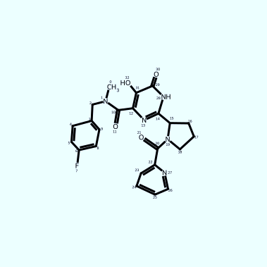 CN(Cc1ccc(F)cc1)C(=O)c1nc(C2CCCN2C(=O)c2ccccn2)[nH]c(=O)c1O